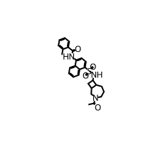 CC(=O)N1CCCC2C(CC2NS(=O)(=O)c2ccc(NC(=O)c3ccccc3C)c3ccccc23)C1